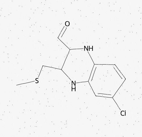 CSCC1Nc2cc(Cl)ccc2NC1C=O